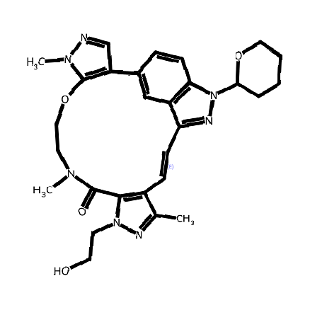 Cc1nn(CCO)c2c1/C=C/c1nn(C3CCCCO3)c3ccc(cc13)-c1cnn(C)c1OCCN(C)C2=O